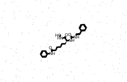 O=C(CCCCC[C@H](NC(=O)NC=Cc1ccccc1)C(=O)NO)Nc1ccccc1